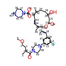 COCC[C@H](C)C(=O)N1CCN(c2cc(F)cc(/C=C(\C)[C@H]3OC(=O)C[C@H](O)CC[C@H](C)[C@@H](OC(=O)N4CCN(C)CC4)/C=C/[C@@H]3C)c2)CC1